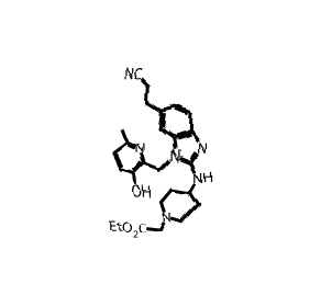 CCOC(=O)CN1CCC(Nc2nc3ccc(CCC#N)cc3n2Cc2nc(C)ccc2O)CC1